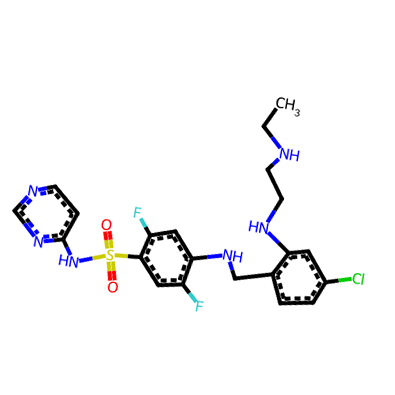 CCNCCNc1cc(Cl)ccc1CNc1cc(F)c(S(=O)(=O)Nc2ccncn2)cc1F